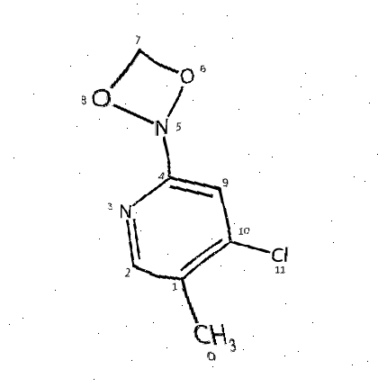 Cc1cnc(N2OCO2)cc1Cl